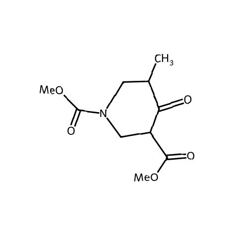 COC(=O)C1CN(C(=O)OC)CC(C)C1=O